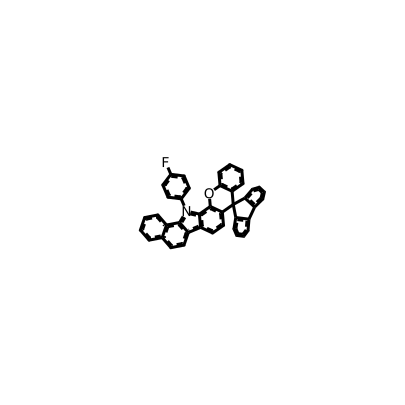 Fc1ccc(-n2c3c4c(ccc3c3ccc5ccccc5c32)C2(c3ccccc3O4)c3ccccc3-c3ccccc32)cc1